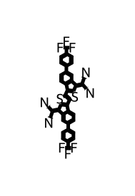 N#CC(C#N)=C1c2cc(-c3ccc(C(F)(F)F)cc3)ccc2-c2c1sc1c3c(sc21)C(=C(C#N)C#N)c1cc(-c2ccc(C(F)(F)F)cc2)ccc1-3